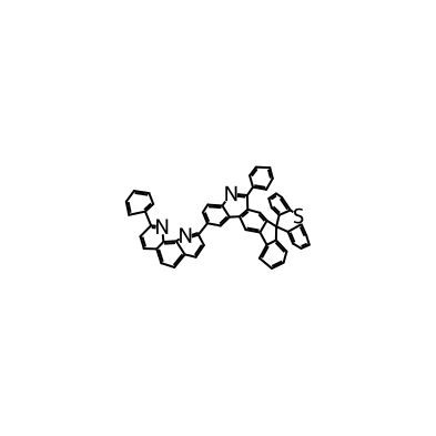 c1ccc(-c2ccc3ccc4ccc(-c5ccc6nc(-c7ccccc7)c7cc8c(cc7c6c5)-c5ccccc5C85c6ccccc6Sc6ccccc65)nc4c3n2)cc1